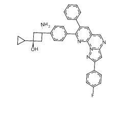 N[C@]1(c2ccc(-c3nc4c(cnc5cc(-c6ccc(F)cc6)nn54)cc3-c3ccccc3)cc2)C[C@](O)(C2CC2)C1